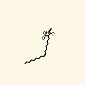 C=CC(=O)C(CCCCCC/C=C\CCCCCCCC)C(=O)O